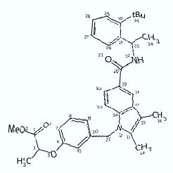 COC(=O)C(C)Oc1cccc(Cn2c(C)c(C)c3cc(C(=O)NC(C)c4ccccc4C(C)(C)C)ccc32)c1